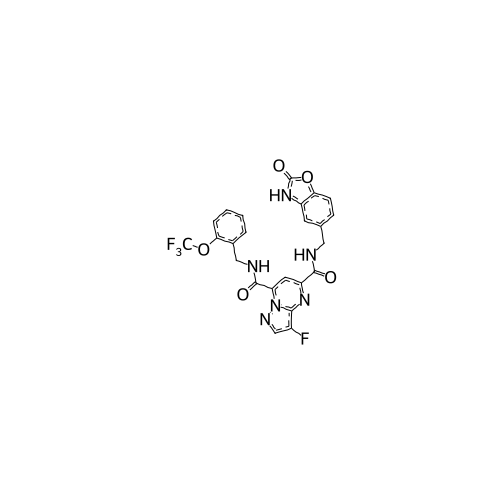 O=C(NCc1ccc2oc(=O)[nH]c2c1)c1cc(C(=O)NCc2ccccc2OC(F)(F)F)n2ncc(F)c2n1